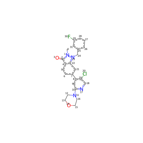 Cn1c(=O)c2ccc(-c3cc(N4CCOCC4)ncc3Cl)cc2n1Cc1cccc(F)c1